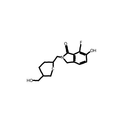 O=C1c2c(ccc(O)c2F)CN1CC1CCC(CO)CC1